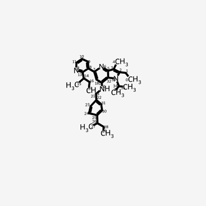 CCc1c(C)c2nc(-c3cccnc3C(C)CC)cc(NCc3ccc(C(C)CC)cc3)c2n1C(C)C